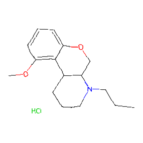 CCCN1CCCC2c3c(OC)cccc3OCC21.Cl